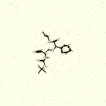 CC=COC(=O)C(OC[C@H](C#N)NC(=O)OC(C)(C)C)c1ccccc1